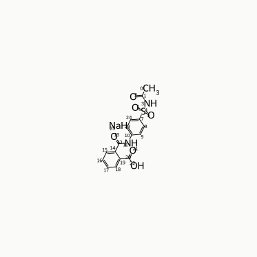 CC(=O)NS(=O)(=O)c1ccc(NC(=O)c2ccccc2C(=O)O)cc1.[NaH]